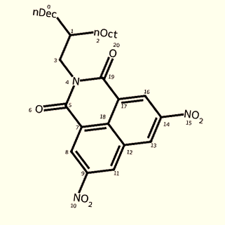 CCCCCCCCCCC(CCCCCCCC)CN1C(=O)c2cc([N+](=O)[O-])cc3cc([N+](=O)[O-])cc(c23)C1=O